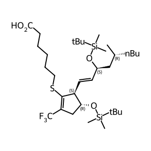 CCCC[C@@H](C)C[C@@H](C=C[C@@H]1C(SCCCCCC(=O)O)=C(C(F)(F)F)C[C@H]1O[Si](C)(C)C(C)(C)C)O[Si](C)(C)C(C)(C)C